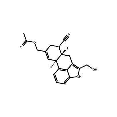 CC(=O)OCC1=C[C@@H]2c3cccc4[nH]c(CO)c(c34)C[C@H]2N(C#N)C1